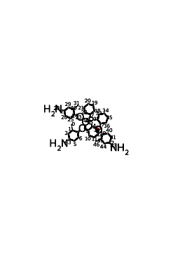 Cc1cc(N)ccc1Oc1ccccc1P(=O)(c1ccccc1Oc1ccc(N)cc1C)c1ccccc1Oc1ccc(N)cc1C